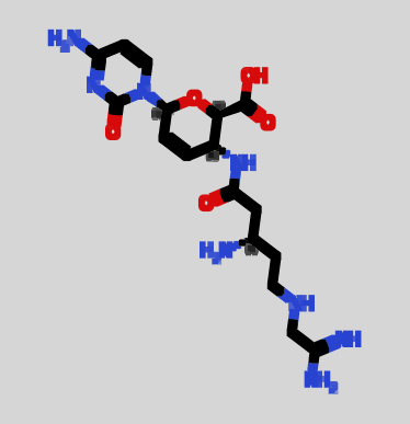 N=C(N)CNCC[C@H](N)CC(=O)N[C@@H]1C=C[C@@H](n2ccc(N)nc2=O)O[C@H]1C(=O)O